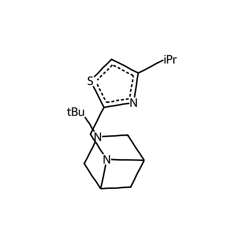 CC(C)c1csc(CN2C3CC2CN(C(C)(C)C)C3)n1